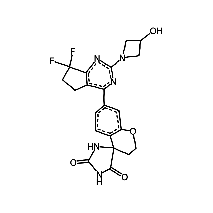 O=C1NC(=O)C2(CCOc3cc(-c4nc(N5CC(O)C5)nc5c4CCC5(F)F)ccc32)N1